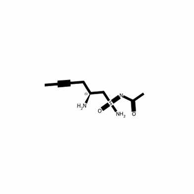 CC#CC[C@H](N)CS(N)(=O)=NC(C)=O